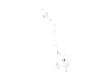 Nc1ncnc2c1c(-c1cnc3[nH]ccc3c1)nn2Cc1ccc2c(c1)CCN(C(=O)CCOCCOCCOCCOCCOCCN1CCN(c3ncc4c(n3)CCNC4)CC1)C2